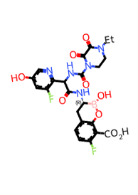 CCN1CCN(C(=O)NC(C(=O)N[C@H]2Cc3ccc(F)c(C(=O)O)c3OB2O)c2ncc(O)cc2F)C(=O)C1=O